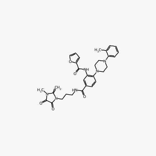 C=C1N(C)C(=O)C(=O)N1CCCNC(=O)c1ccc(N2CCN(c3ccccc3C)CC2)c(NC(=O)c2ccco2)c1